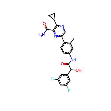 Cc1cc(NC(=O)C(O)c2cc(F)cc(F)c2)ccc1-c1cnc(C2CC2)c(C(N)=O)n1